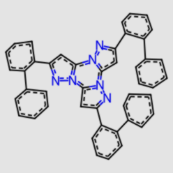 c1ccc(-c2ccccc2-c2cc3n(n2)c2cc(-c4ccccc4-c4ccccc4)nn2c2cc(-c4ccccc4-c4ccccc4)nn32)cc1